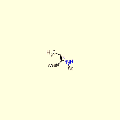 C/C=C(\NC)NC(C)=O